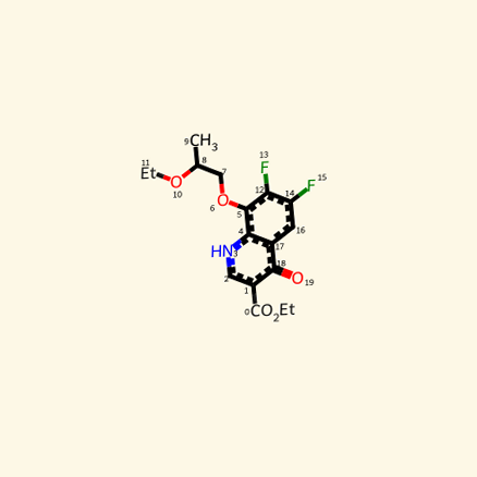 CCOC(=O)c1c[nH]c2c(OCC(C)OCC)c(F)c(F)cc2c1=O